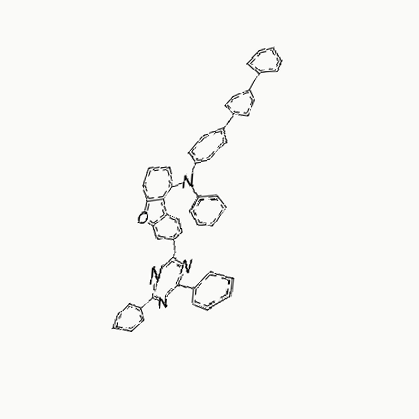 c1ccc(-c2ccc(-c3ccc(N(c4ccccc4)c4cccc5oc6cc(-c7nc(-c8ccccc8)nc(-c8ccccc8)n7)ccc6c45)cc3)cc2)cc1